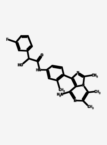 Cc1cc(NC(=O)C(O)c2cccc(F)c2)ccc1-c1nc(C)n2c(C)c(C)nc(N)c12